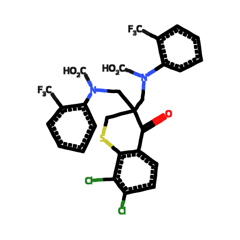 O=C(O)N(CC1(CN(C(=O)O)c2ccccc2C(F)(F)F)CSc2c(ccc(Cl)c2Cl)C1=O)c1ccccc1C(F)(F)F